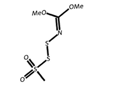 COC(=NSSS(C)(=O)=O)OC